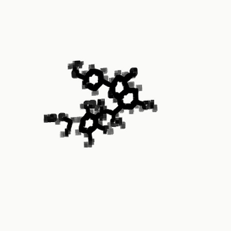 Cc1cc(C(C)Nc2c(C(=O)O)ccc(F)c2F)c2oc(-c3ccc(OC(C)C)nc3)cc(=O)c2c1.O=C(O)CF